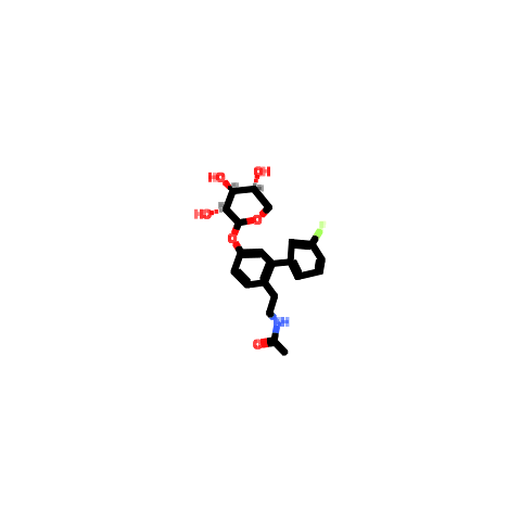 CC(=O)NCCc1ccc(OC2OC[C@@H](O)[C@H](O)[C@H]2O)cc1-c1cccc(F)c1